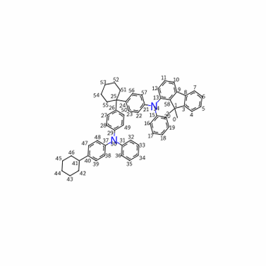 CC1(C)c2ccccc2-c2cccc(N(c3ccccc3)c3ccc(C4(c5ccc(N(c6ccccc6)c6ccc(C7CCCCC7)cc6)cc5)CCCCC4)cc3)c21